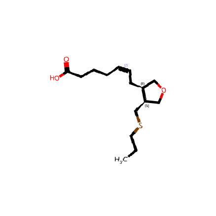 CCCSC[C@@H]1COC[C@@H]1C/C=C\CCCC(=O)O